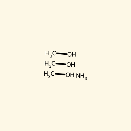 CO.CO.CO.N